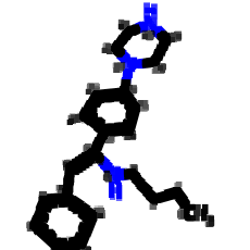 CCCCNC(=Cc1ccccc1)c1ccc(N2CCNCC2)cc1